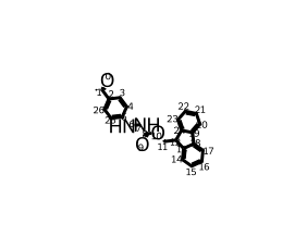 O=[C]c1ccc(NNC(=O)OCC2c3ccccc3-c3ccccc32)cc1